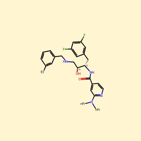 CCCN(CCC)c1cc(C(=O)N[C@@H](Cc2cc(F)cc(F)c2)[C@@H](O)CNCc2cccc(CC)c2)ccn1